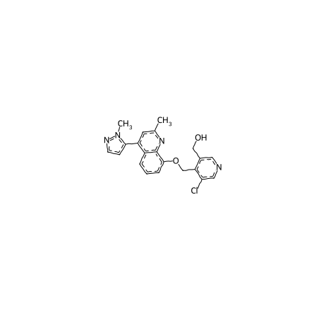 Cc1cc(-c2ccnn2C)c2cccc(OCc3c(Cl)cncc3CO)c2n1